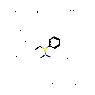 CC[SH](c1ccccc1)N(C)C